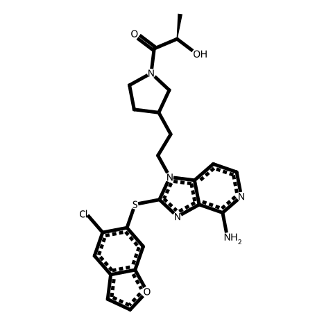 C[C@@H](O)C(=O)N1CCC(CCn2c(Sc3cc4occc4cc3Cl)nc3c(N)nccc32)C1